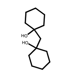 OC1(CC2(O)CCCCC2)CCCCC1